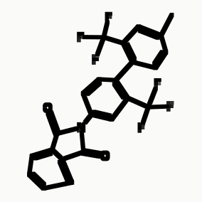 Cc1ccc(-c2ccc(N3C(=O)c4ccccc4C3=O)cc2C(F)(F)F)c(C(F)(F)F)c1